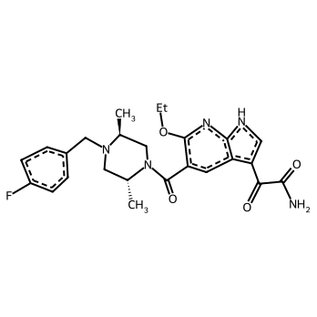 CCOc1nc2[nH]cc(C(=O)C(N)=O)c2cc1C(=O)N1C[C@H](C)N(Cc2ccc(F)cc2)C[C@H]1C